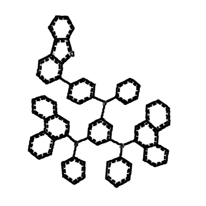 c1ccc(N(c2ccc(-c3cccc4c3oc3ccccc34)cc2)c2cc(N(c3ccccc3)c3cc4ccccc4c4ccccc34)cc(N(c3ccccc3)c3cc4ccccc4c4ccccc34)c2)cc1